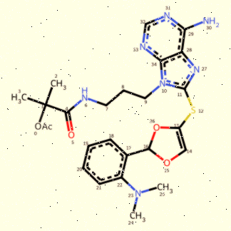 CC(=O)OC(C)(C)C(=O)NCCCn1c(SC2=COC(c3ccccc3N(C)C)O2)nc2c(N)ncnc21